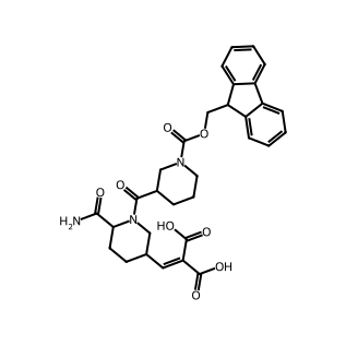 NC(=O)C1CCC(C=C(C(=O)O)C(=O)O)CN1C(=O)C1CCCN(C(=O)OCC2c3ccccc3-c3ccccc32)C1